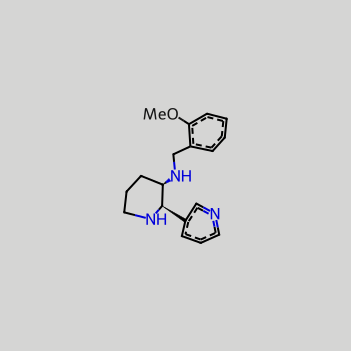 COc1ccccc1CN[C@@H]1CCCN[C@@H]1c1cccnc1